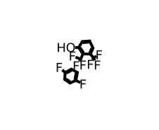 Fc1ccc(F)cc1.Oc1cccc(C(F)(F)F)c1C(F)(F)F